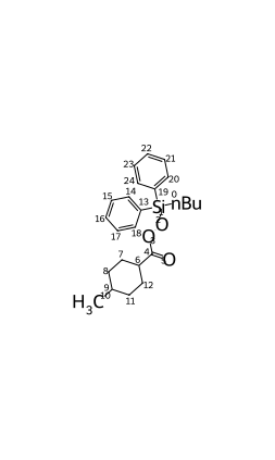 CCCC[Si](OOC(=O)C1CCC(C)CC1)(c1ccccc1)c1ccccc1